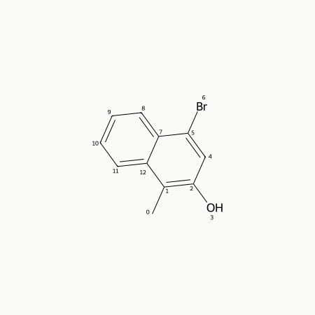 Cc1c(O)cc(Br)c2ccccc12